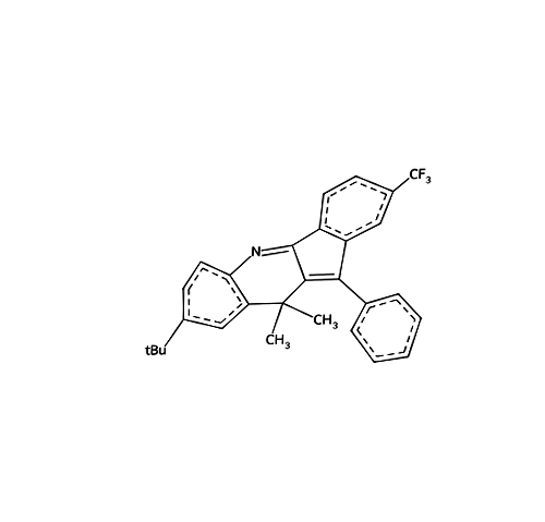 CC(C)(C)c1ccc2c(c1)C(C)(C)C1=C(c3ccccc3)c3cc(C(F)(F)F)ccc3C1=N2